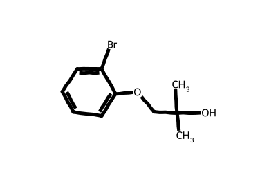 CC(C)(O)COc1ccccc1Br